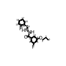 CCCOc1cc(F)cc(C(=O)NNSc2ccccc2F)c1